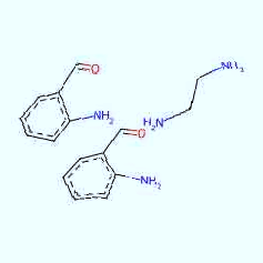 NCCN.Nc1ccccc1C=O.Nc1ccccc1C=O